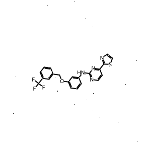 FC(F)(F)c1cccc(COc2cccc(Nc3nccc(-c4nccs4)n3)c2)c1